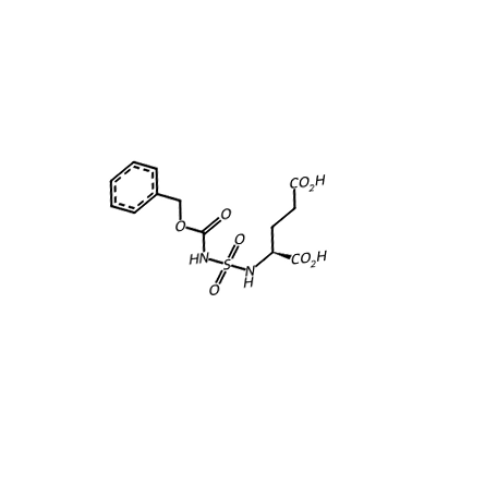 O=C(O)CC[C@H](NS(=O)(=O)NC(=O)OCc1ccccc1)C(=O)O